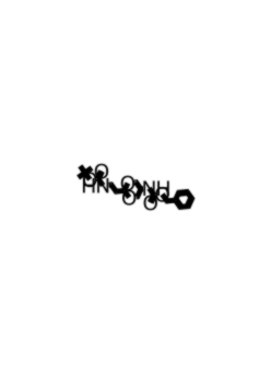 CC(C)(C)OC(=O)NCCC1OCC(NC(=O)OCc2ccccc2)CO1